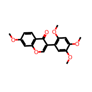 COc1ccc2c(=O)c(-c3cc(OC)c(OC)cc3OC)coc2c1